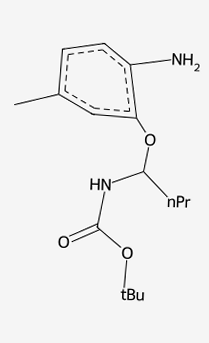 CCCC(NC(=O)OC(C)(C)C)Oc1cc(C)ccc1N